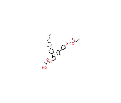 C=CCCC1CCC(C2CCC(c3cc(OC(=O)C(=C)CO)ccc3-c3ccc(-c4ccc(OCCOC(=O)C=C)cc4)cc3)CC2)CC1